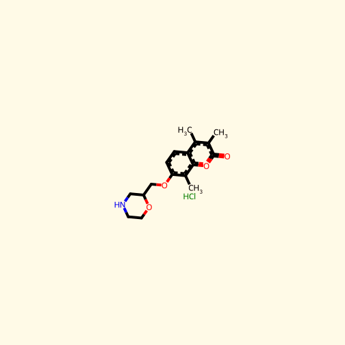 Cc1c(C)c2ccc(OCC3CNCCO3)c(C)c2oc1=O.Cl